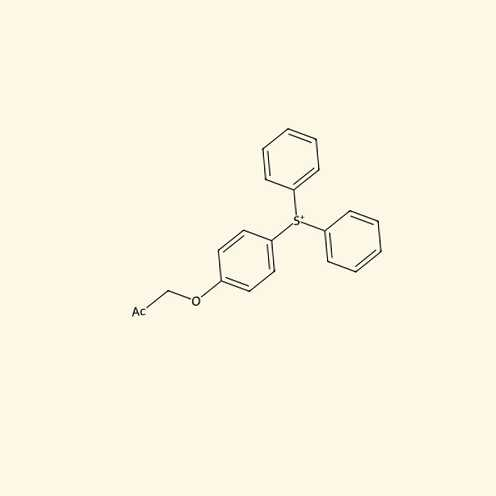 CC(=O)COc1ccc([S+](c2ccccc2)c2ccccc2)cc1